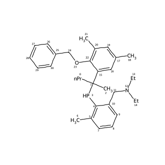 CCCC(C)(Pc1c(C)cccc1CN(CC)CC)c1cc(C)cc(C)c1OCc1ccccc1